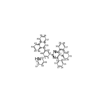 CC1=CNC(c2cc(-c3nc(-c4ccccc4)c(C4=CCCC=C4)c(-c4ccccc4)n3)cc(-c3cc4ccccc4c4ccccc34)c2)C=C1